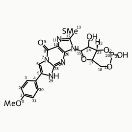 COc1ccc(-c2cn3c(=O)c4nc(SC)n([C@@H]5OC6COP(O)O[C@H]6C5O)c4nc3[nH]2)cc1